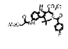 CCOC(=O)C1=CN(C(=O)c2ccc(F)cc2)CC(C)(C)c2c1[nH]c1ccc(NC(=O)COC)cc21